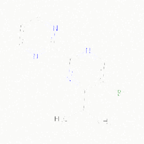 CC(C)c1nc(-c2ncccn2)ncc1Br